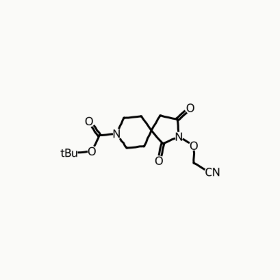 CC(C)(C)OC(=O)N1CCC2(CC1)CC(=O)N(OCC#N)C2=O